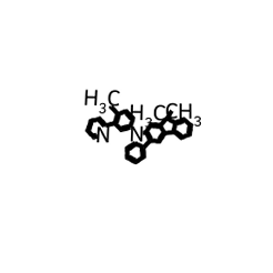 CCc1ccc(-n2c3ccccc3c3cc4c(cc32)C(C)(C)c2ccccc2-4)cc1-c1ccccn1